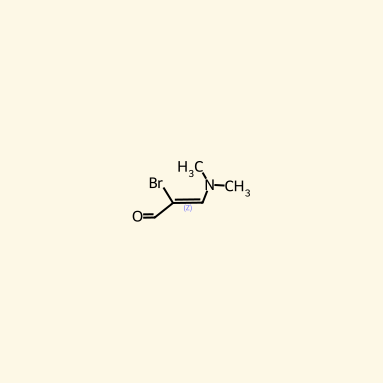 CN(C)/C=C(\Br)C=O